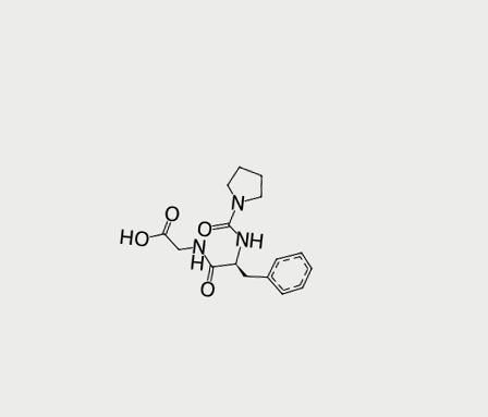 O=C(O)CNC(=O)[C@H](Cc1ccccc1)NC(=O)N1CCCC1